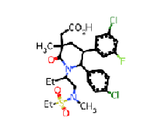 CCC(CN(C)S(=O)(=O)CC)N1C(=O)C(C)(CC(=O)O)CC(c2cc(F)cc(Cl)c2)C1c1ccc(Cl)cc1